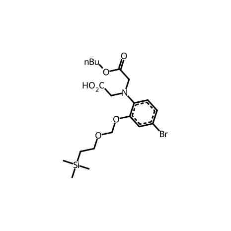 CCCCOC(=O)CN(CC(=O)O)c1ccc(Br)cc1OCOCC[Si](C)(C)C